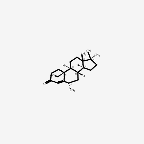 C[C@H]1C[C@@H]2[C@H](CC[C@@]3(C)[C@H]2CC[C@]3(C)O)[C@@]2(CO)CCC(=O)C=C12